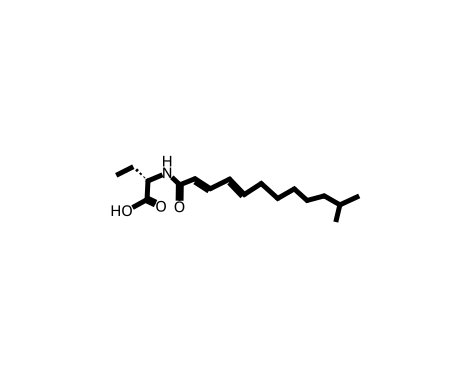 CC[C@H](NC(=O)/C=C/C=C/CCCCCC(C)C)C(=O)O